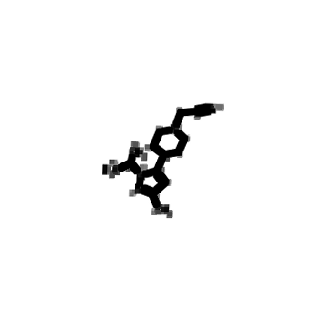 Cc1cc(C2CCN(CC#N)CC2)n(C(C)C)n1